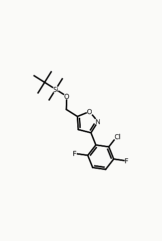 CC(C)(C)[Si](C)(C)OCc1cc(-c2c(F)ccc(F)c2Cl)no1